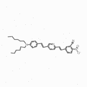 CCCCCCN(CCCCCC)c1ccc(/C=C/c2ccc(/C=C/c3ccc([N+](=O)[O-])c(C#N)c3)nc2)cc1